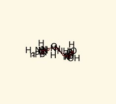 CCCSc1nc(NCCN)c2nnn(Cc3ccc(CCCNC(=O)C4CCN(CCNCCCc5ccc(-c6cn([C@H]7C[C@H](n8cc(C)c(=O)[nH]c8=O)O[C@@H]7CO)nn6)cc5)CC4)cc3)c2n1